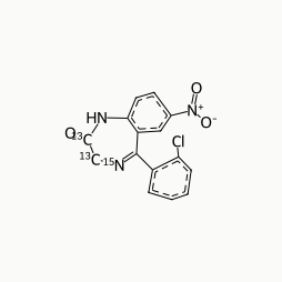 O=[13C]1[13CH2][15N]=C(c2ccccc2Cl)c2cc([N+](=O)[O-])ccc2N1